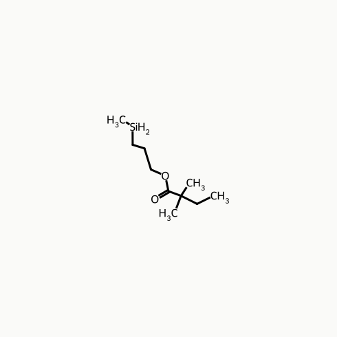 CCC(C)(C)C(=O)OCCC[SiH2]C